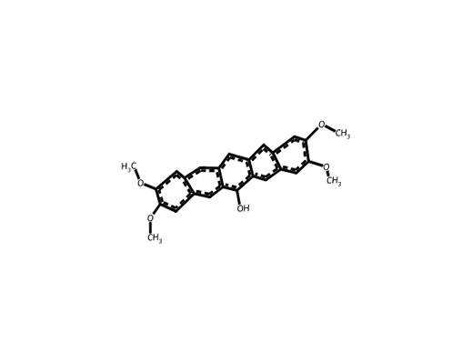 COc1cc2cc3cc4cc5cc(OC)c(OC)cc5cc4c(O)c3cc2cc1OC